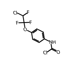 O=C(Cl)Nc1ccc(OC(F)(F)C(F)Cl)cc1